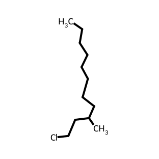 CCCCCCCCC(C)CCCl